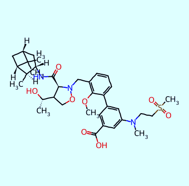 COc1c(CN2OCC([C@H](C)O)[C@H]2C(=O)N[C@H]2C[C@H]3C[C@@H]([C@@H]2C)C3(C)C)cccc1-c1cc(C(=O)O)cc(N(C)CCS(C)(=O)=O)c1